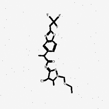 CCOCN1SC(=NC(=O)C(C)c2ccc3oc(CC(F)(F)F)nc3c2)C(Cl)C1C